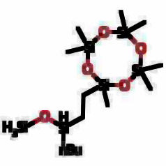 CCCC[SiH](CC[Si]1(C)O[Si](C)(C)O[Si](C)(C)O[Si](C)(C)O1)O[SiH3]